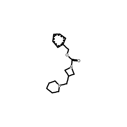 O=C(OCc1ccccc1)N1CC(CN2CCCCC2)C1